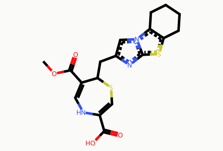 COC(=O)C1=CNC(C(=O)O)=CSC1Cc1cn2c3c(sc2n1)CCCC3